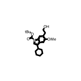 COc1cc2c(C3CCCCC3)cn(C(=O)OC(C)(C)C)c2cc1CCO